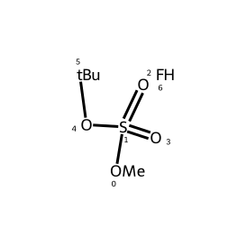 COS(=O)(=O)OC(C)(C)C.F